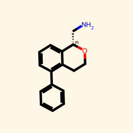 NC[C@@H]1OCCc2c(-c3ccccc3)cccc21